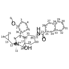 COc1cccc([C@@]23CC[N@+](C)(CC4CC4)CC2(O)CC[C@@H](NC(=O)c2ccc4ccccc4c2)C3)c1